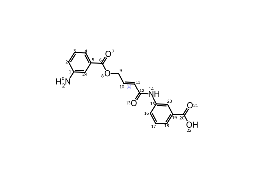 Nc1cccc(C(=O)OC/C=C/C(=O)Nc2cccc(C(=O)O)c2)c1